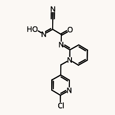 N#CC(=NO)C(=O)N=c1ccccn1Cc1ccc(Cl)nc1